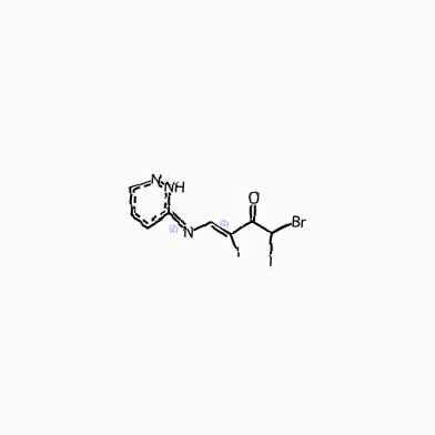 O=C(/C(I)=C/N=c1/cccn[nH]1)C(Br)I